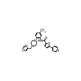 O=C(Nc1cc(C(F)(F)F)ccc1N1CCN(Cc2cocn2)CC1)c1ccc(-c2ccncc2)o1